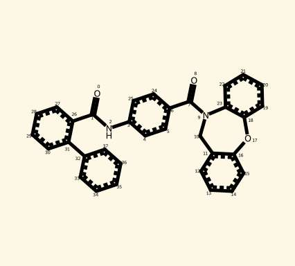 O=C(Nc1ccc(C(=O)N2Cc3ccccc3Oc3ccccc32)cc1)c1ccccc1-c1ccccc1